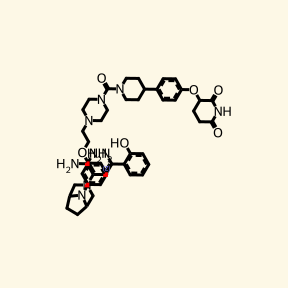 NC(N)=C(/C=C(\N)c1ccccc1O)N1CC2CCC(C1)N2c1cccc(OCCN2CCN(C(=O)N3CCC(c4ccc(OC5CCC(=O)NC5=O)cc4)CC3)CC2)c1